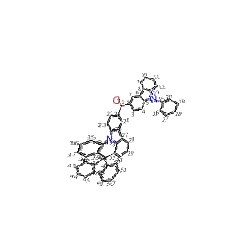 O=C(c1ccc2c(c1)c1ccccc1n2-c1ccccc1)c1ccc2c(c1)c1cccc3c1n2-c1ccccc1C3(c1ccccc1)c1ccccc1